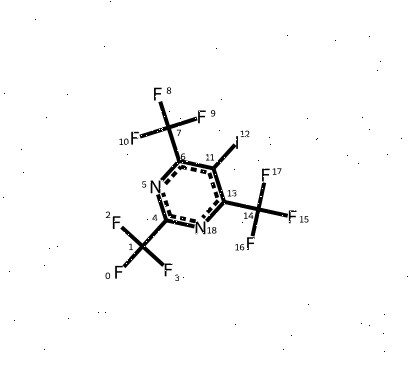 FC(F)(F)c1nc(C(F)(F)F)c(I)c(C(F)(F)F)n1